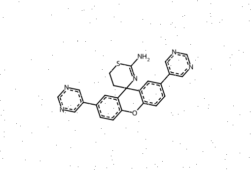 NC1=NC2(CCS1)c1cc(-c3cncnc3)ccc1Oc1ccc(-c3cncnc3)cc12